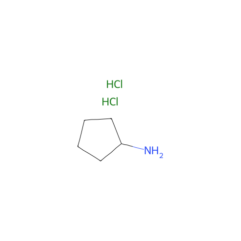 Cl.Cl.NC1CCCC1